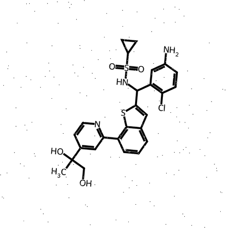 CC(O)(CO)c1ccnc(-c2cccc3cc(C(NS(=O)(=O)C4CC4)c4cc(N)ccc4Cl)sc23)c1